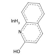 Oc1ccc2ccccc2n1.[InH3]